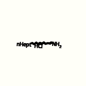 CCCCCCCCCCCCCCCCC=CN.Cl